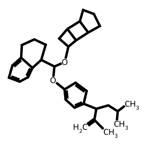 C=C(C)C(CC(C)C)c1ccc(OC(OC2CC3C4CCCC4C23)C2CCCc3ccccc32)cc1